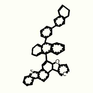 C1=Cc2cc(-c3cccc(-c4c5c(c(C6=Cc7c(ccc8c7sc7ccccc78)C7c8ccccc8OC67)c6ccccc46)=CCCC=5)c3)ccc2CC1